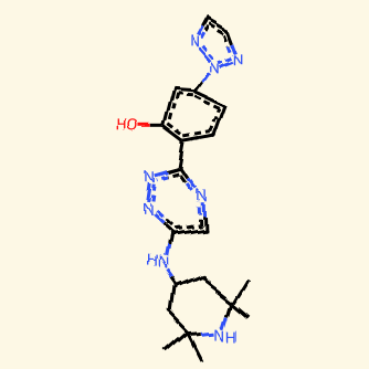 CC1(C)CC(Nc2cnc(-c3ccc(-n4nccn4)cc3O)nn2)CC(C)(C)N1